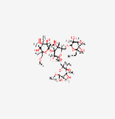 CCC1(C)OC(OCC2(C)OC(C)(OCC3(C)OC(C)(OC)C(C)(O)C(C)(O)C3(C)O)C(C)(O)C(C)(OC3(C)OC(C)(COC)C(C)(O)C(C)(O)C3(C)O)C2(C)O)C(C)(O)C(C)(O)C1(C)O